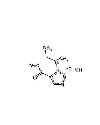 COC(=O)c1cncn1[C@@H](C)CN.Cl.Cl